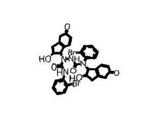 O=C1C=CC2=C(C1)CC(O)C2N(NC(=O)N(c1ccccc1Br)C1C2=C(CC(=O)C=C2)CC1O)C(=O)Nc1ccccc1Br